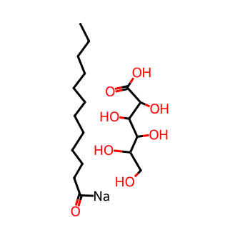 CCCCCCCCCCC[C](=O)[Na].O=C(O)C(O)C(O)C(O)C(O)CO